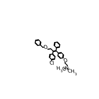 CN(C)CCOc1ccc(C(=C(CCOCc2ccccc2)c2ccc(Cl)cc2)c2ccccc2)cc1